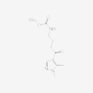 Cc1c(C(=O)CCCNC(=O)OC(C)(C)C)cnn1C